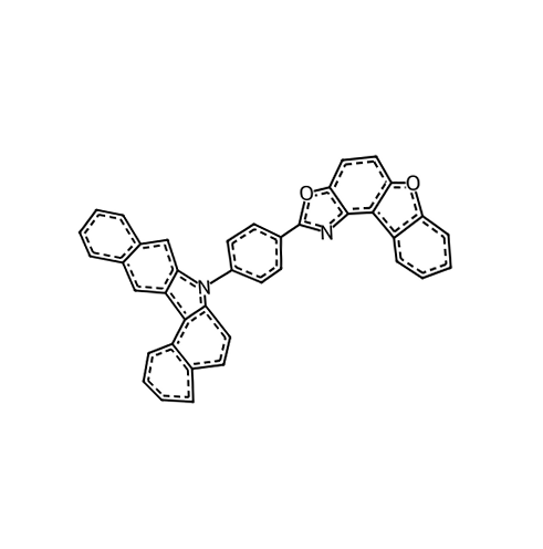 c1ccc2cc3c(cc2c1)c1c2ccccc2ccc1n3-c1ccc(-c2nc3c(ccc4oc5ccccc5c43)o2)cc1